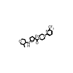 CC[C@]1(C(=O)N2CCN(c3cccc(C(F)(F)F)n3)CC2)CC[C@H](NC2CCOCC2C)C1